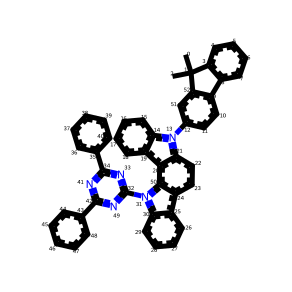 CC1(C)c2ccccc2-c2ccc(-n3c4ccccc4c4c3ccc3c5ccccc5n(-c5nc(-c6ccccc6)nc(-c6ccccc6)n5)c34)cc21